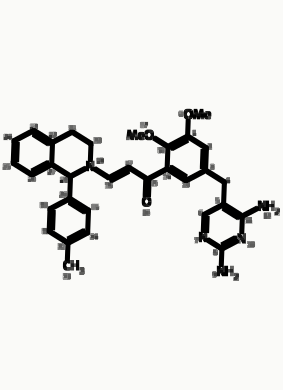 COc1cc(Cc2cnc(N)nc2N)cc(C(=O)/C=C/N2CCc3ccccc3C2c2ccc(C)cc2)c1OC